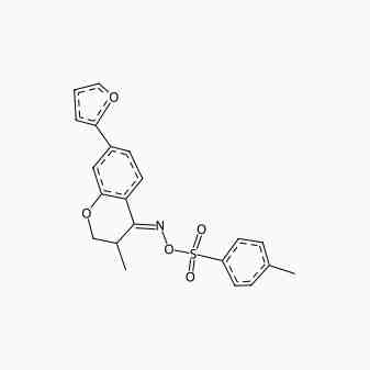 Cc1ccc(S(=O)(=O)ON=C2c3ccc(-c4ccco4)cc3OCC2C)cc1